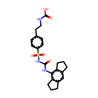 O=C(O)NCCc1ccc(S(=O)(=O)NC(=O)Nc2c3c(cc4c2CCC4)CCC3)cc1